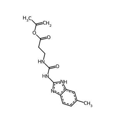 C=C(C)OC(=O)CCNC(=O)Nc1nc2ccc(C)cc2[nH]1